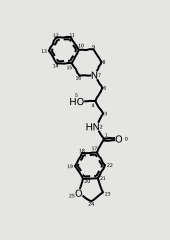 O=C(NCC(O)CN1CCc2ccccc2C1)c1ccc2c(c1)CCO2